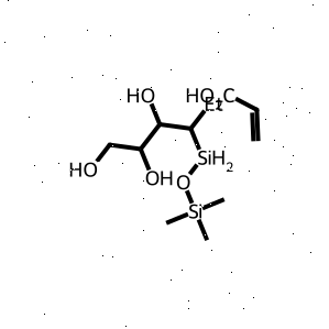 C=CC(=O)O.CCC([SiH2]O[Si](C)(C)C)C(O)C(O)CO